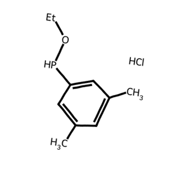 CCOPc1cc(C)cc(C)c1.Cl